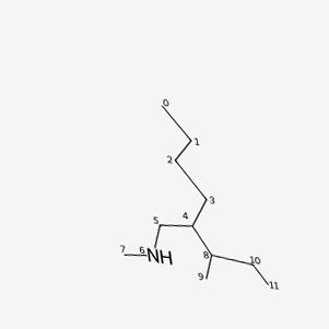 CCCCC(CNC)C(C)CC